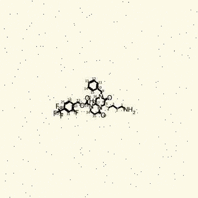 NCCCC[C@H]1C(=O)N(Cc2ccccc2)C[C@@H]2N(C(=O)OCc3ccc(C(F)(F)F)cc3F)CCC(=O)N21